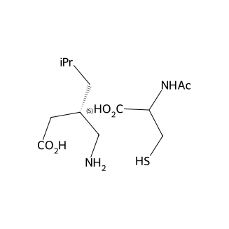 CC(=O)NC(CS)C(=O)O.CC(C)C[C@H](CN)CC(=O)O